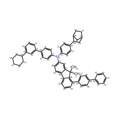 CC1(C)c2cc(N(c3ccc(-c4cccc(C5CCCCC5)c4)cc3)c3ccc(C4CC5CCC4C5)cc3)ccc2-c2cccc(-c3ccc(-c4ccccc4)cc3)c21